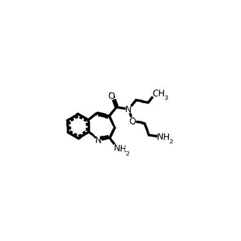 CCCN(OCCN)C(=O)C1=Cc2ccccc2N=C(N)C1